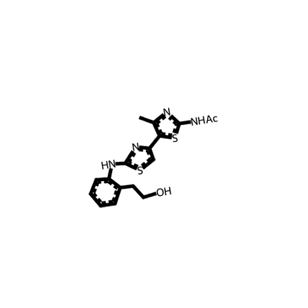 CC(=O)Nc1nc(C)c(-c2csc(Nc3ccccc3CCO)n2)s1